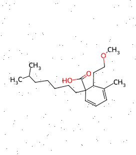 COCCC1C(C)=CC=CC1(CCCCCC(C)C)C(=O)O